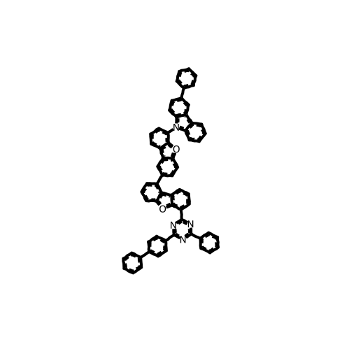 c1ccc(-c2ccc(-c3nc(-c4ccccc4)nc(-c4cccc5c4oc4cccc(-c6ccc7oc8c(-n9c%10ccccc%10c%10cc(-c%11ccccc%11)ccc%109)cccc8c7c6)c45)n3)cc2)cc1